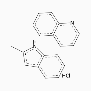 Cc1cc2ccccc2[nH]1.Cl.c1ccc2ncccc2c1